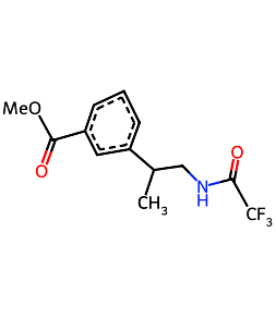 COC(=O)c1cccc(C(C)CNC(=O)C(F)(F)F)c1